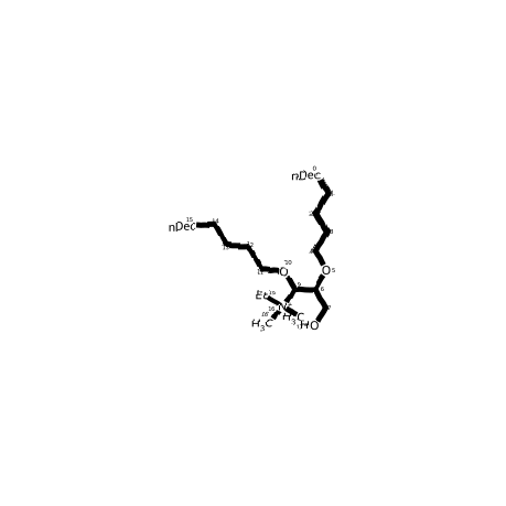 CCCCCCCCCCCCCCOC(CO)C(OCCCCCCCCCCCCCC)[N+](C)(C)CC